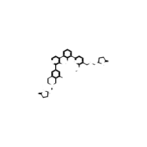 COc1nc(-c2cccc(-c3ccnc(-c4cc(F)c5c(c4)CCN(C[C@H]4CCC(=O)N4)C5)c3Cl)c2Cl)ccc1CNC[C@H]1CCC(=O)N1